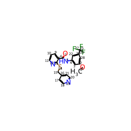 COc1cc(NC(=O)c2cccnc2SCc2ccncc2)cc(C(F)(F)F)c1